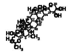 CC(=O)O[C@@H](C1C[C@@H](C)[C@H]2[C@@](O)(O1)[C@H](O)[C@@]1(C)C3CC[C@H]4C(C)(C)[C@@H](O[C@H]5C[C@@H](O)C(O)CO5)CC[C@@]45CC35CC[C@]21C)C(C)(C)O